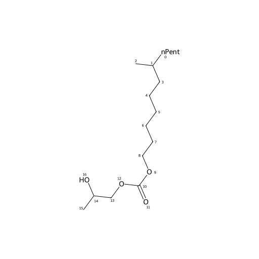 CCCCCC(C)CCCCCCOC(=O)OCC(C)O